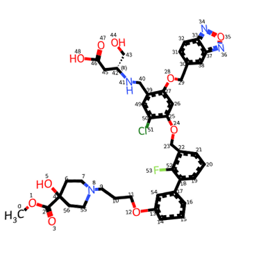 COC(=O)C1(O)CCN(CCCOc2cccc(-c3cccc(COc4cc(OCc5ccc6nonc6c5)c(CN[C@@H](CO)CC(=O)O)cc4Cl)c3F)c2)CC1